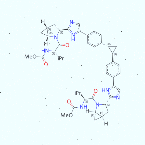 COC(=O)N[C@H](C(=O)N1[C@@H]2C[C@@H]2C[C@H]1c1ncc(-c2ccc([C@@H]3C[C@H]3c3ccc(-c4cnc([C@@H]5C[C@H]6C[C@H]6N5C(=O)[C@@H](NC(=O)OC)C(C)C)[nH]4)cc3)cc2)[nH]1)C(C)C